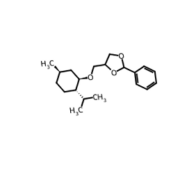 CC(C)[C@@H]1CC[C@@H](C)C[C@H]1OCC1COC(c2ccccc2)O1